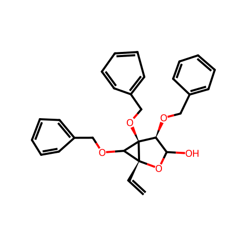 C=C[C@]12OC(O)[C@H](OCc3ccccc3)[C@@]1(OCc1ccccc1)C2OCc1ccccc1